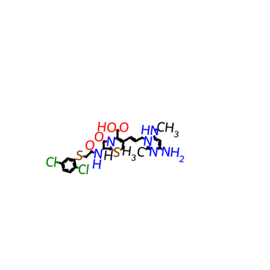 CNc1cc(N)nc(C)[n+]1CC=CC1=C(C(=O)O)N2C(=O)[C@@H](NC(=O)CSc3cc(Cl)ccc3Cl)[C@H]2SC1